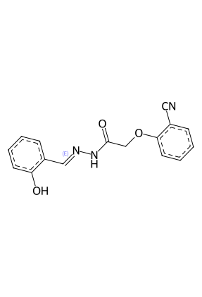 N#Cc1ccccc1OCC(=O)N/N=C/c1ccccc1O